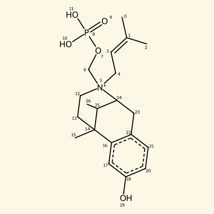 CC(C)=CC[N+]1(COP(=O)(O)O)CCC2(C)c3cc(O)ccc3CC1C2C